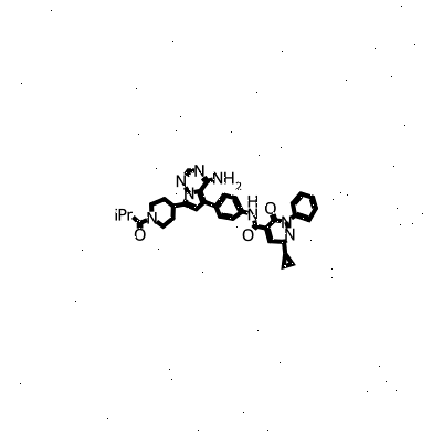 CC(C)C(=O)N1CCC(c2cc(-c3ccc(NC(=O)c4cc(C5CC5)nn(-c5ccccc5)c4=O)cc3)c3c(N)ncnn23)CC1